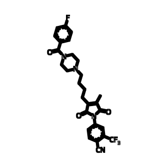 CC1=C(CCCCN2CCN(C(=O)c3ccc(F)cc3)CC2)C(=O)N(c2ccc(C#N)c(C(F)(F)F)c2)C1=O